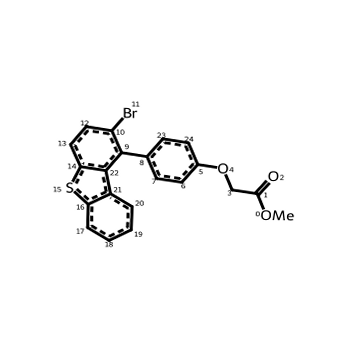 COC(=O)COc1ccc(-c2c(Br)ccc3sc4ccccc4c23)cc1